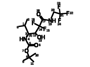 CC(C)[C@H](NC(=O)OC(C)(C)C)C(O)C(F)(F)C(=O)NCC(F)(F)F